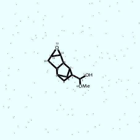 COC(O)C1CC2CC1C1C2CC2OC21